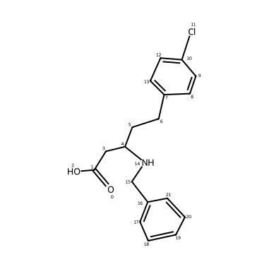 O=C(O)CC(CCc1ccc(Cl)cc1)NCc1ccccc1